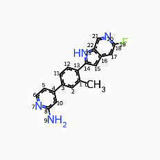 Cc1cc(-c2ccnc(N)c2)ccc1-c1cc2cc(F)ncc2[nH]1